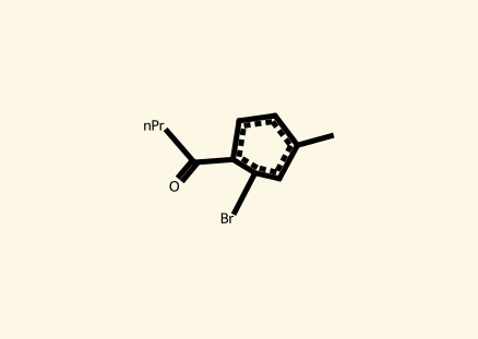 CCCC(=O)c1ccc(C)cc1Br